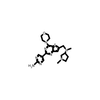 CN1CCC(N(C)Cc2cc3nc(-c4cnc(N)nc4)nc(N4CCOCC4)c3s2)C1